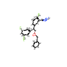 N#Cc1cc(C(COCc2ccccc2)c2cc(F)cc(F)c2)ccc1F